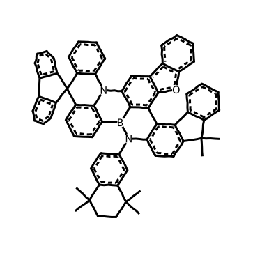 CC1(C)CCC(C)(C)c2cc(N3B4c5cccc6c5N(c5ccccc5C65c6ccccc6-c6ccccc65)c5cc6c(oc7ccccc76)c(c54)-c4c3ccc3c4-c4ccccc4C3(C)C)ccc21